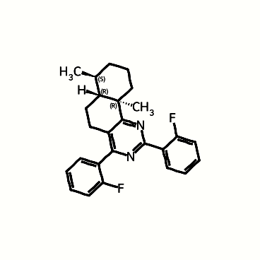 C[C@H]1CCC[C@@]2(C)c3nc(-c4ccccc4F)nc(-c4ccccc4F)c3CC[C@H]12